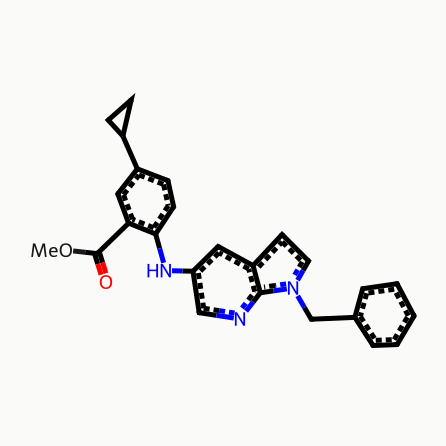 COC(=O)c1cc(C2CC2)ccc1Nc1cnc2c(ccn2Cc2ccccc2)c1